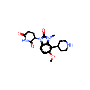 COc1ccc2c(c1C1CCNCC1)n(C)c(=O)n2C1CCC(=O)NC1=O